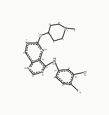 CN1CCC(Oc2ncc3ncnc(Nc4ccc(F)c(Cl)c4)c3n2)CC1